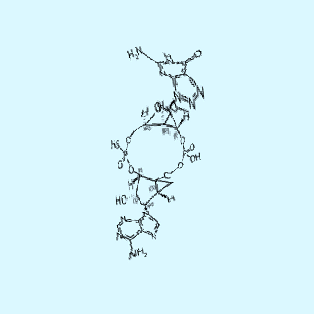 CO[C@H]1[C@H]2OP(=O)(O)OCC34C[C@@H]3[C@@H](n3cnc5c(N)ncnc53)[C@H](O)[C@@H]4OP(=O)(S)OC[C@H]1O[C@H]2n1nnc2c(=O)[nH]c(N)nc21